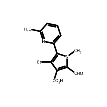 CCc1c(C(=O)O)c(C=O)n(C)c1-c1cccc(C)n1